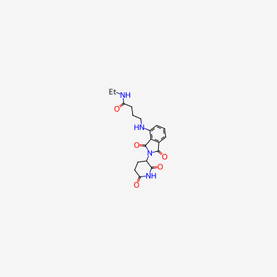 CCNC(=O)CCCNc1cccc2c1C(=O)N(C1CCC(=O)NC1=O)C2=O